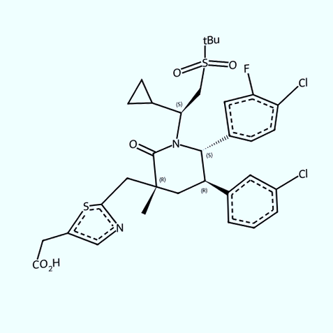 CC(C)(C)S(=O)(=O)C[C@H](C1CC1)N1C(=O)[C@@](C)(Cc2ncc(CC(=O)O)s2)C[C@H](c2cccc(Cl)c2)[C@H]1c1ccc(Cl)c(F)c1